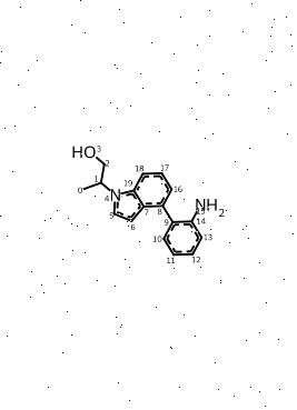 CC(CO)n1ccc2c(-c3ccccc3N)cccc21